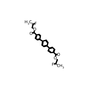 C[C@H](F)COC(=O)c1ccc(-c2ccc(-c3ccc(C(=O)OC[C@H](C)F)cc3)cc2)cc1